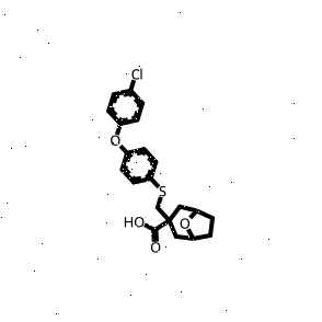 O=C(O)C1(CSc2ccc(Oc3ccc(Cl)cc3)cc2)CC2CCC(C1)O2